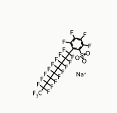 O=S(=O)([O-])c1c(F)c(F)c(F)c(F)c1C(F)(F)C(F)(F)C(F)(F)C(F)(F)C(F)(F)C(F)(F)C(F)(F)C(F)(F)C(F)(F)F.[Na+]